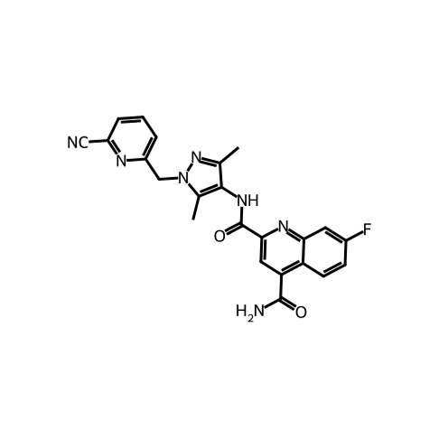 Cc1nn(Cc2cccc(C#N)n2)c(C)c1NC(=O)c1cc(C(N)=O)c2ccc(F)cc2n1